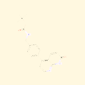 CC(C)(C)OC(=O)NCc1ccc(-c2ccnc3[nH]c(=O)ccc23)cc1